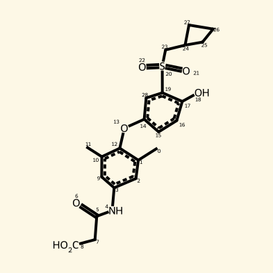 Cc1cc(NC(=O)CC(=O)O)cc(C)c1Oc1ccc(O)c(S(=O)(=O)CC2CCC2)c1